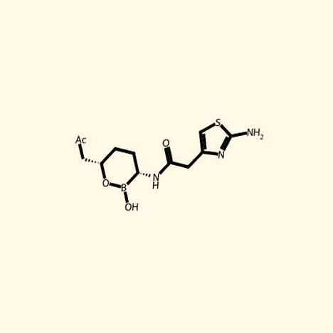 CC(=O)C[C@@H]1CC[C@H](NC(=O)Cc2csc(N)n2)B(O)O1